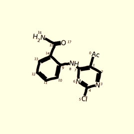 CC(=O)c1cnc(Cl)nc1Nc1ccccc1C(N)=O